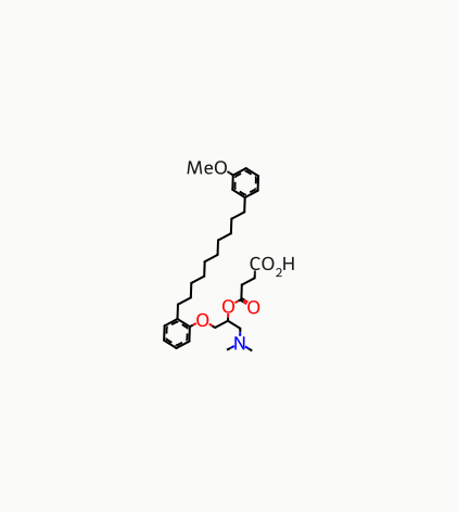 COc1cccc(CCCCCCCCCCc2ccccc2OCC(CN(C)C)OC(=O)CCC(=O)O)c1